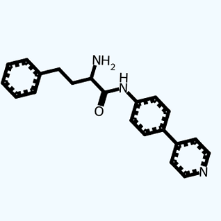 NC(CCc1ccccc1)C(=O)Nc1ccc(-c2ccncc2)cc1